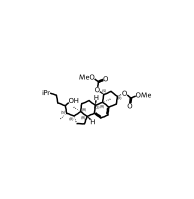 COC(=O)O[C@@H]1CC2=CC=C3[C@@H]4CC[C@H]([C@H](C)C(O)CCC(C)C)[C@@]4(C)CC[C@@H]3[C@@]2(C)[C@@H](OC(=O)OC)C1